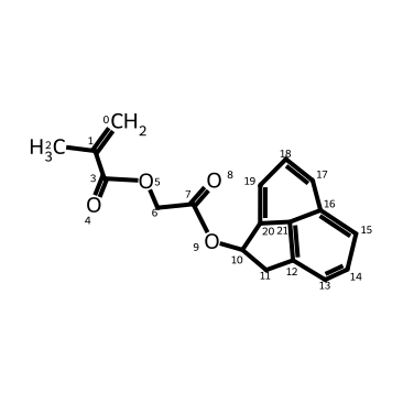 C=C(C)C(=O)OCC(=O)OC1Cc2cccc3cccc1c23